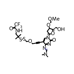 COCOC1C[C@H](n2cc(C#CCOCSSC(C)(C)CNC(=O)C(F)(F)F)c(/N=C/N(C)C)nc2=O)O[C@@H]1CO